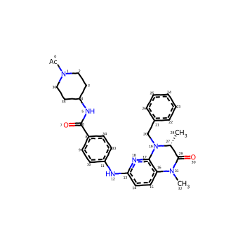 CC(=O)N1CCC(NC(=O)c2ccc(Nc3ccc4c(n3)N(Cc3ccccc3)[C@H](C)C(=O)N4C)cc2)CC1